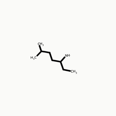 CCC([NH])CCC(C)C